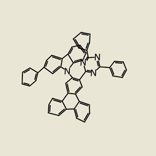 c1ccc(-c2ccc3c4ccccc4n(-c4cc5c6ccccc6c6ccccc6c5cc4-c4nc(-c5ccccc5)nc(-c5ccccc5)n4)c3c2)cc1